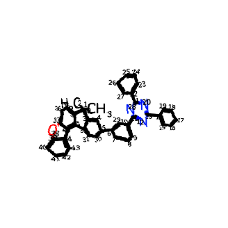 CC1(C)c2cc(-c3cccc(-c4nc(-c5ccccc5)nc(-c5ccccc5)n4)c3)ccc2-c2c1ccc1oc3ccccc3c21